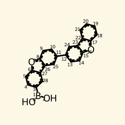 OB(O)c1ccc2oc3ccc(-c4ccc5oc6ccccc6c5c4)cc3c2c1